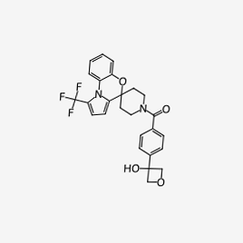 O=C(c1ccc(C2(O)COC2)cc1)N1CCC2(CC1)Oc1ccccc1-n1c(C(F)(F)F)ccc12